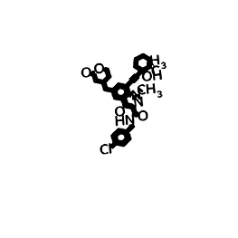 C[C@@H]1CCCC[C@]1(O)C#Cc1cc(CC2CCOC(=O)C2)cc2c(=O)c(C(=O)NCc3ccc(Cl)cc3)nn(C)c12